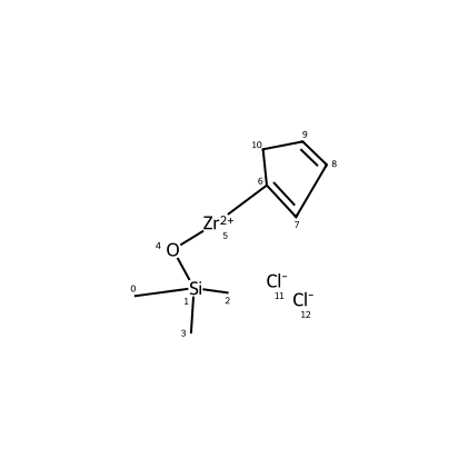 C[Si](C)(C)[O][Zr+2][C]1=CC=CC1.[Cl-].[Cl-]